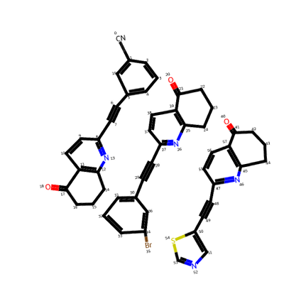 N#Cc1cccc(C#Cc2ccc3c(n2)CCCC3=O)c1.O=C1CCCc2nc(C#Cc3cccc(Br)c3)ccc21.O=C1CCCc2nc(C#Cc3cncs3)ccc21